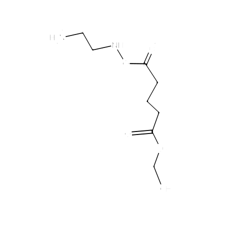 CCOC(=O)CCCC(=O)ONCCN